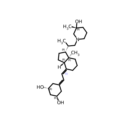 CC(CN1CCC[C@@](C)(O)C1)[C@H]1CC[C@H]2/C(=C/C=C3C[C@@H](O)C[C@H](O)C3)CCC[C@]12C